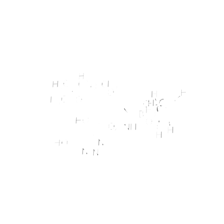 COc1c(C[C@H](NC(=O)Cn2nnc(CO)c2CO)B2O[C@@H]3C[C@@H]4C[C@@H](C4(C)C)[C@]3(C)O2)cccc1C(=O)OC(C)(C)C